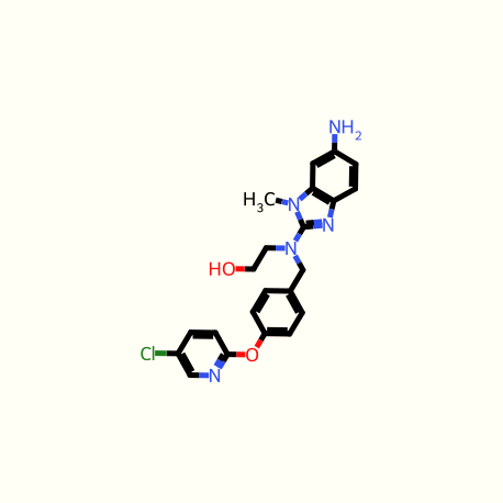 Cn1c(N(CCO)Cc2ccc(Oc3ccc(Cl)cn3)cc2)nc2ccc(N)cc21